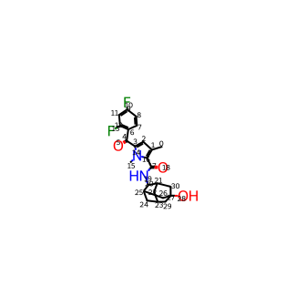 Cc1cc(C(=O)c2ccc(F)cc2F)n(C)c1C(=O)NC1C2CC3CC1CC(O)(C3)C2